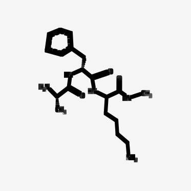 CNC(=O)C(CCCCN)NC(=O)[C@@H](Cc1ccccc1)NC(=O)[C@H](C)N